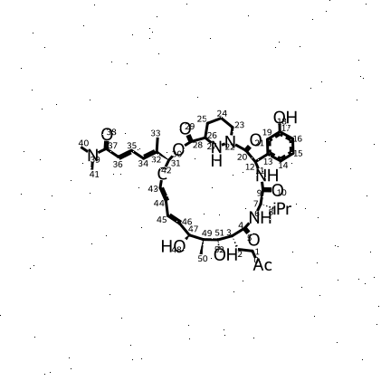 CC(=O)CC[C@H]1C(=O)N[C@@H](C(C)C)C(=O)NC(c2cccc(O)c2)C(=O)N2CCCC(N2)C(=O)O[C@H](/C(C)=C/C=C/C(=O)N(C)C)C/C=C/C=C/[C@H](O)[C@H](C)[C@H]1O